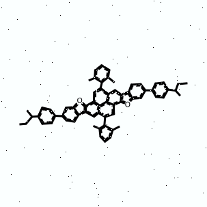 CCC(C)c1ccc(-c2ccc3c(c2)oc2c3cc3c(-c4c(C)cccc4C)cc4c5oc6cc(-c7ccc(C(C)CC)cc7)ccc6c5cc5c(-c6c(C)cccc6C)cc2c3c54)cc1